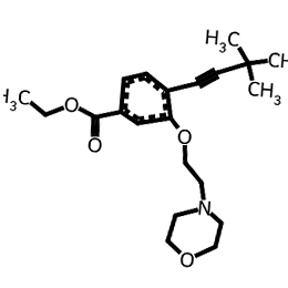 CCOC(=O)c1ccc(C#CC(C)(C)C)c(OCCN2CCOCC2)c1